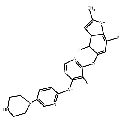 CC1=CC2C(=C(F)C=C(Oc3ncnc(Nc4ccc(N5CCNCC5)cn4)c3Cl)C2F)N1